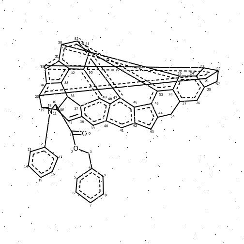 O=C(OCc1ccccc1)C1N(c2ccccc2)CC2c3cc4c5c6c(cc7c8c6c6c9c%10c(c3c59)C3c5c(cc9cc%11cc(c%12c%11c%11c9c5c%10c%11c6c%128)C7)=CC231)C4